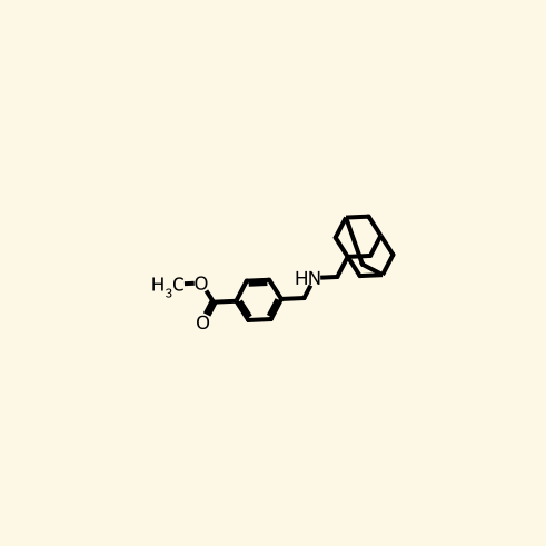 COC(=O)c1ccc(CNCC23CC4CC(CC(C4)C2)C3)cc1